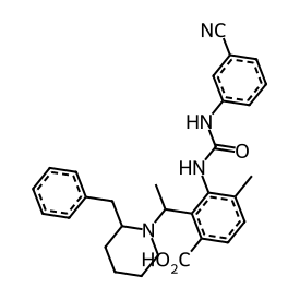 Cc1ccc(C(=O)O)c(C(C)N2CCCCC2Cc2ccccc2)c1NC(=O)Nc1cccc(C#N)c1